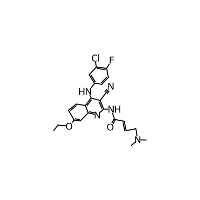 CCOc1ccc2c(Nc3ccc(F)c(Cl)c3)c(C#N)c(NC(=O)C=CCN(C)C)nc2c1